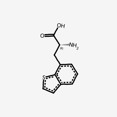 N[C@H](Cc1cccc2ccsc12)C(=O)O